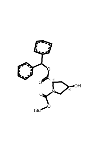 CC(C)(C)OC(=O)N1C[C@H](O)C[C@H]1C(=O)OC(c1ccccc1)c1ccccc1